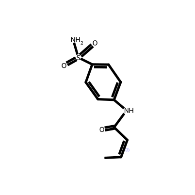 C/C=C\C(=O)Nc1ccc(S(N)(=O)=O)cc1